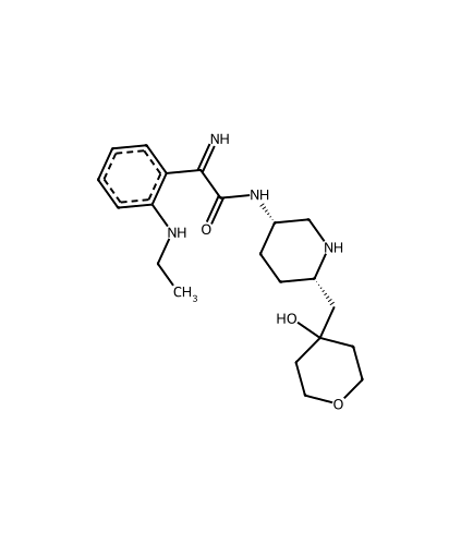 CCNc1ccccc1C(=N)C(=O)N[C@H]1CC[C@@H](CC2(O)CCOCC2)NC1